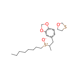 C1CSCO1.CCCCCCCC[S+]([O-])C(C)Cc1ccc2c(c1)OCO2